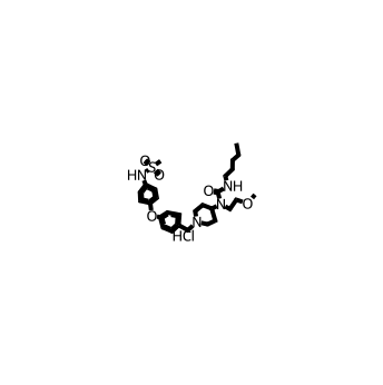 CCCCCNC(=O)N(CCOC)C1CCN(Cc2ccc(Oc3ccc(NS(C)(=O)=O)cc3)cc2)CC1.Cl